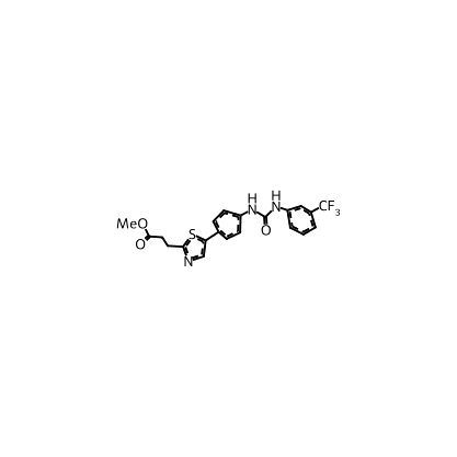 COC(=O)CCc1ncc(-c2ccc(NC(=O)Nc3cccc(C(F)(F)F)c3)cc2)s1